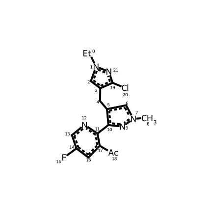 CCn1cc(Cc2cn(C)nc2-c2ncc(F)cc2C(C)=O)c(Cl)n1